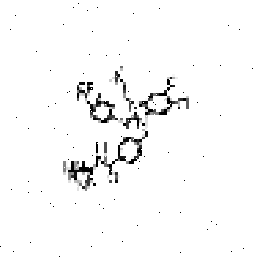 CN(C)CCn1c(=Nc2ccc(OC(F)(F)F)cc2)n(Cc2ccc(C(=O)Nc3nnn[nH]3)cc2)c2cc(Cl)c(Cl)cc21